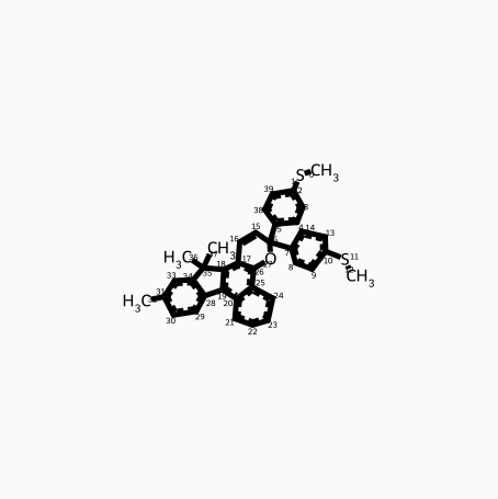 CSc1ccc(C2(c3ccc(SC)cc3)C=Cc3c4c(c5ccccc5c3O2)-c2ccc(C)cc2C4(C)C)cc1